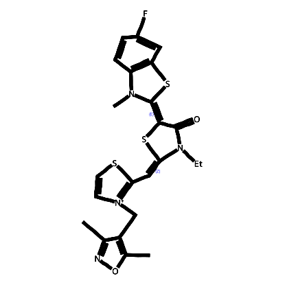 CCn1c(=O)/c(=C2\Sc3cc(F)ccc3N2C)s/c1=C\c1scc[n+]1Cc1c(C)noc1C